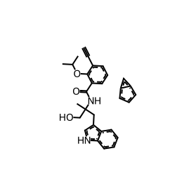 C#Cc1cccc(C(=O)NC(C)(CO)Cc2c[nH]c3ccccc23)c1OC(C)C.c1cc2cc-2c1